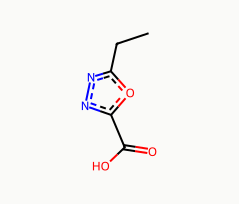 CCc1nnc(C(=O)O)o1